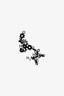 [N-]=[N+]=NC[C@H](N=NN)C(=O)N[C@@H](CN=[N+]=[N-])C(=O)OCCOC1=CCC(C2=C(C=N)C(SCC3=CSC(C4C=CC(Cl)=CC4)N3)NC(N3CCCC3)=C2C=N)C=C1